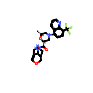 C[C@@H]1CN(c2ccc(C(F)(F)F)c3ncccc23)C[C@H](C(=O)NC2C3=COCC2CNC3)O1